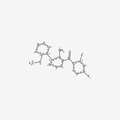 Nc1c(C(=O)c2ccc(F)cc2F)ccnc1-c1ccccc1OC(F)(F)F